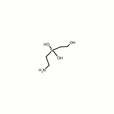 NCC[Si](O)(O)CCO